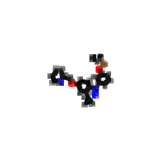 CSOc1cccc(Nc2ccc(OCc3ccccn3)cc2C2CC2)c1